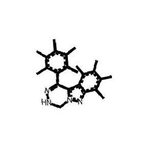 Cc1c(C)c(C)c(C2=NNCn3nc4c(C)c(C)c(C)c(C)c4c32)c(C)c1C